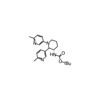 Cc1ccc(C2[C@@H](NC(=O)OC(C)(C)C)CCCN2c2ccc(C)nc2)cn1